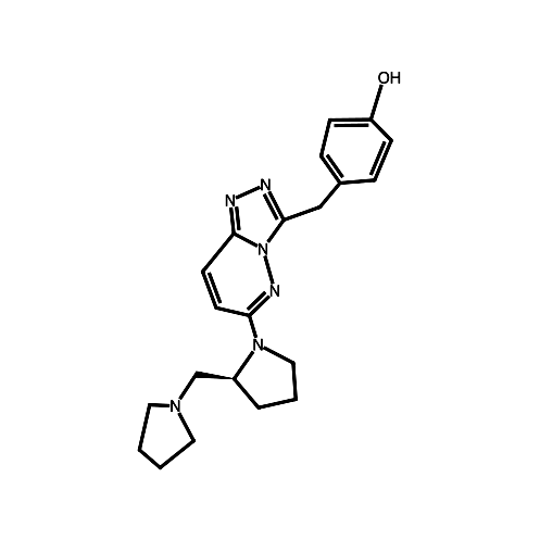 Oc1ccc(Cc2nnc3ccc(N4CCC[C@H]4CN4CCCC4)nn23)cc1